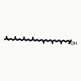 CC(C)=CCC/C(C)=C/CC/C(C)=C/C=C/C(C)=C/C=C/C=C(C)/C=C/C=C(C)/C=C/C=C(\C)CCCC(C)(C)O